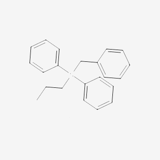 CCC[N+](Cc1ccccc1)(c1ccccc1)c1ccccc1.[Cl-]